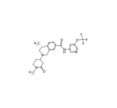 C[C@H]1CN(C2CCN(C)C(=O)C2)Cc2cc(C(=O)Nc3cncc(OC(F)(F)F)c3)ccc21